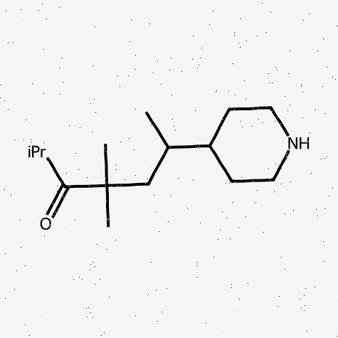 CC(C)C(=O)C(C)(C)CC(C)C1CCNCC1